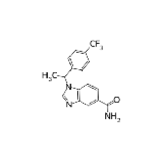 CC(c1ccc(C(F)(F)F)cc1)n1cnc2cc(C(N)=O)ccc21